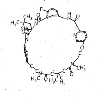 CN1CCOc2ccc(nc2)C(=O)NCc2ccc(F)c(c2)C(=O)N[C@@H](CC(C)(C)C)C(=O)Nc2ccc(cc2)CCN(C)C(=O)CC(C)(C)CC1=O